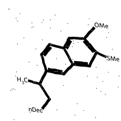 CCCCCCCCCCCC(C)c1ccc2cc(OC)c(SC)cc2c1